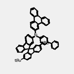 CC(C)(C)c1ccc2c(c1)C1(c3ccccc3-c3ccc(N(c4ccc(-c5ccccc5)cc4)c4ccc5c6ccccc6c6ccccc6c5c4)cc31)c1cc(C(C)(C)C)ccc1-2